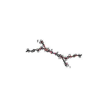 C#CC(=O)OCCCOc1ccc(CCOC(=O)C2CCC(C(=O)OCCC(CCCOCCOC(=O)C(=C)C(F)(F)F)NC(=S)c3ccc4cc(-c5ccc(/C=C/c6ccc(-c7ccc8cc(C(=S)NC(CCCOCCOC(=O)C(=C)C(F)(F)F)CCOC(=O)C9CCC(C(=O)OCCc%10ccc(OCCCOC(=O)C#C)cc%10)CC9)ccc8c7)c(F)c6)cc5F)ccc4c3)CC2)cc1